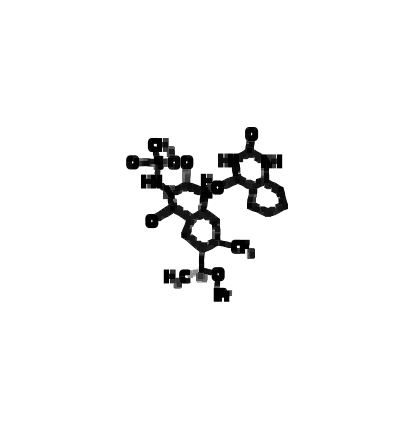 CC(C)O[C@H](C)c1cc2c(=O)n(NS(C)(=O)=O)c(=O)[nH]c2cc1C(F)(F)F.O=c1[nH]c(=O)c2ccccc2[nH]1